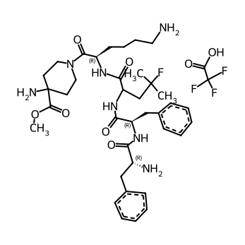 COC(=O)C1(N)CCN(C(=O)[C@@H](CCCCN)NC(=O)C(CC(C)(C)F)NC(=O)[C@@H](Cc2ccccc2)NC(=O)[C@H](N)Cc2ccccc2)CC1.O=C(O)C(F)(F)F